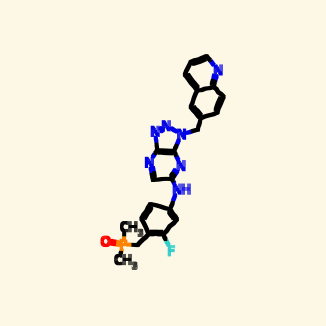 CP(C)(=O)Cc1ccc(Nc2cnc3nnn(Cc4ccc5ncccc5c4)c3n2)cc1F